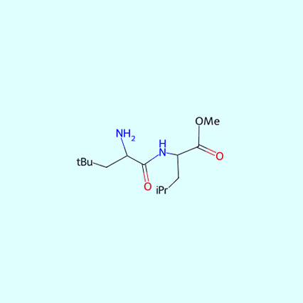 COC(=O)C(CC(C)C)NC(=O)C(N)CC(C)(C)C